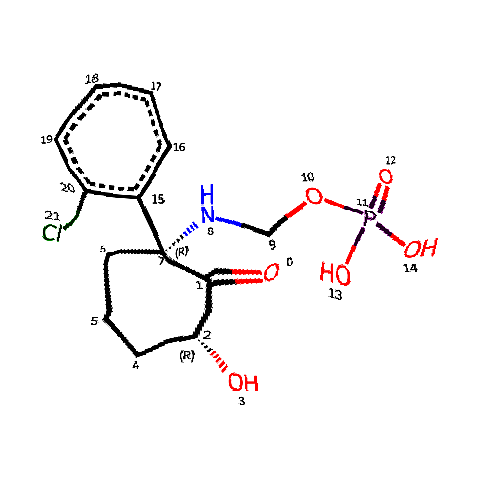 O=C1[C@H](O)CCC[C@@]1(NCOP(=O)(O)O)c1ccccc1Cl